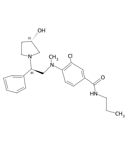 CCCNC(=O)c1ccc(N(C)C[C@@H](c2ccccc2)N2CC[C@H](O)C2)c(Cl)c1